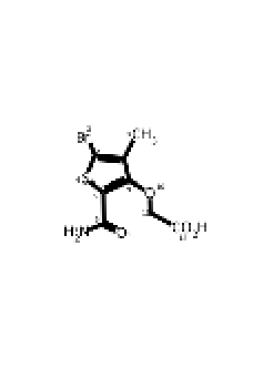 Cc1c(Br)sc(C(N)=O)c1OCC(=O)O